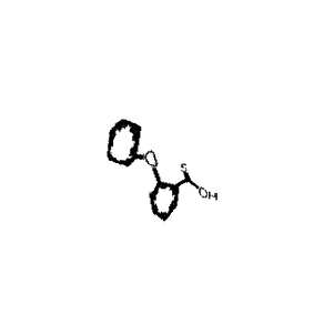 OC(=S)c1ccccc1Oc1ccccc1